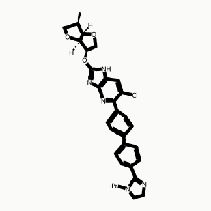 CC(C)N1CCN=C1c1ccc(-c2ccc(-c3nc4nc(O[C@@H]5CO[C@H]6[C@@H]5OC[C@H]6C)[nH]c4cc3Cl)cc2)cc1